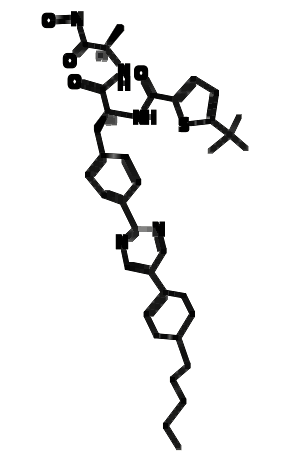 CCCCCC1CC=C(c2cnc(-c3ccc(C[C@H](NC(=O)c4ccc(C(C)(C)C)s4)C(=O)N[C@H](C)C(=O)N=O)cc3)nc2)CC1